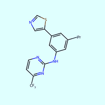 CC(C)c1cc(Nc2nccc(C(F)(F)F)n2)cc(-c2cncs2)c1